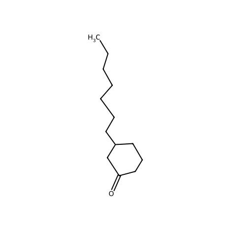 CCCCCCCC1CCCC(=O)C1